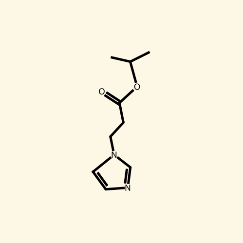 CC(C)OC(=O)CCn1ccnc1